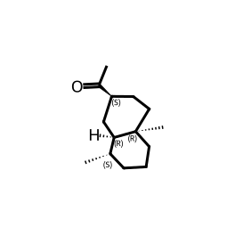 CC(=O)[C@H]1CC[C@@]2(C)CCC[C@H](C)[C@H]2C1